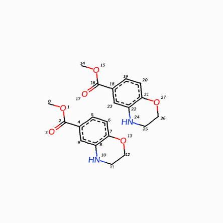 COC(=O)c1ccc2c(c1)NCCO2.COC(=O)c1ccc2c(c1)NCCO2